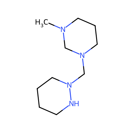 CN1CCCN(CN2CCCCN2)C1